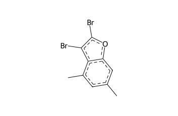 Cc1cc(C)c2c(Br)c(Br)oc2c1